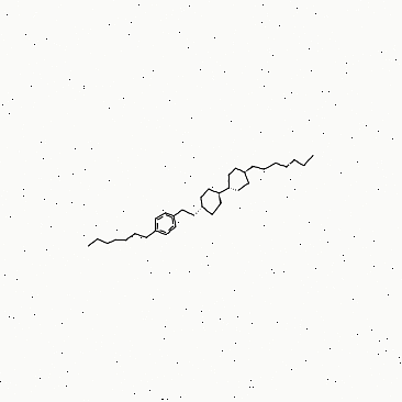 CCCCCCCc1ccc(CC[C@H]2CC[C@H]([C@H]3CC[C@H](CCCCCCC)CC3)CC2)cc1